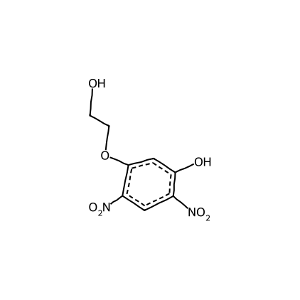 O=[N+]([O-])c1cc([N+](=O)[O-])c(OCCO)cc1O